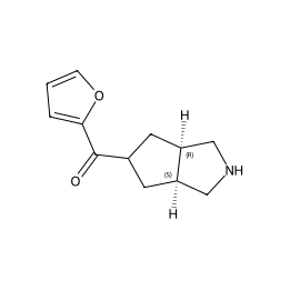 O=C(c1ccco1)C1C[C@H]2CNC[C@H]2C1